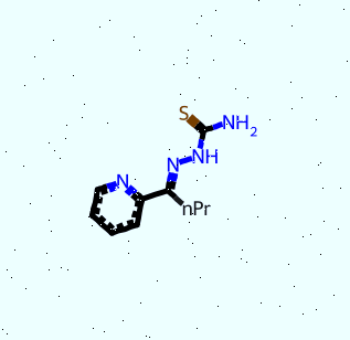 CCCC(=NNC(N)=S)c1ccccn1